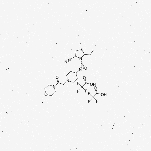 CCC1SCC(C#N)N1n1on1C1CCN(CC(=O)N2CCOCC2)CC1.O=C(O)C(F)(F)F.O=C(O)C(F)(F)F